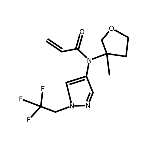 C=CC(=O)N(c1cnn(CC(F)(F)F)c1)C1(C)CCOC1